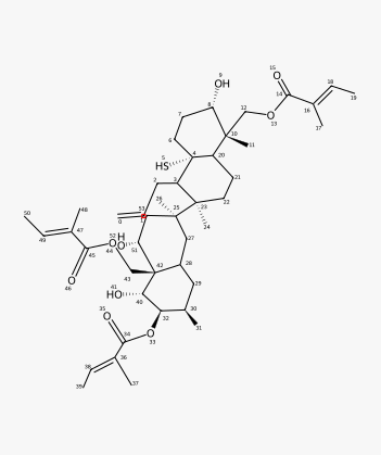 C=CCC1[C@@]2(S)CC[C@H](O)[C@](C)(COC(=O)/C(C)=C/C)C2CC[C@@]1(C)[C@@]1(C)CC2C[C@@H](C)[C@@H](OC(=O)/C(C)=C/C)[C@H](O)[C@]2(COC(=O)/C(C)=C/C)[C@H](O)C1